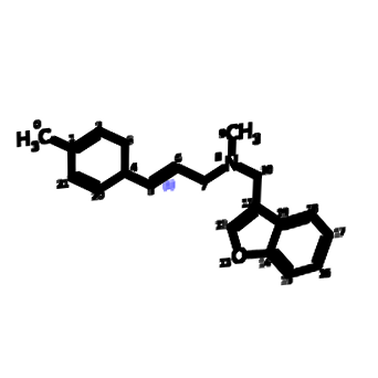 CC1=CCC(/C=C/CN(C)Cc2coc3ccccc23)C=C1